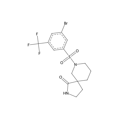 O=C1NCCC12CCCN(S(=O)(=O)c1cc(Br)cc(C(F)(F)F)c1)C2